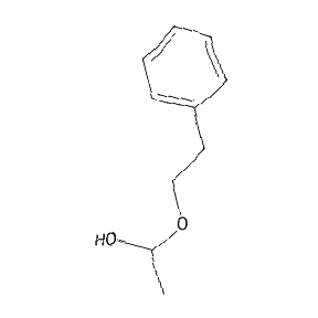 CC(O)OCCc1ccccc1